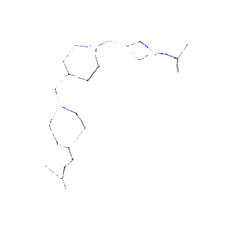 CC(C)CC1CCN(CC2CCN(CC3CN(C(C)C)C3)CC2)CC1